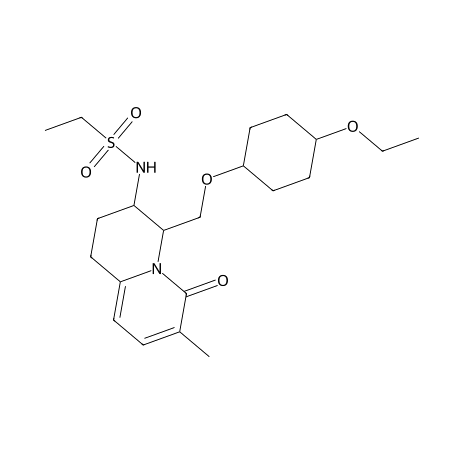 CCOC1CCC(OCC2C(NS(=O)(=O)CC)CCc3ccc(C)c(=O)n32)CC1